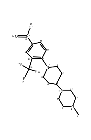 CN1CCN(C2CCN(c3ccc([N+](=O)[O-])cc3C(F)(F)F)CC2)CC1